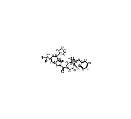 O=C(c1cn2cc(C(F)(F)F)cc(C3CCOC3)c2n1)N1CC[C@]2(Cc3ccccc3CN2)[C@H](O)C1